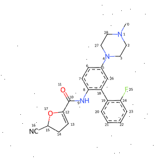 CN1CCN(c2ccc(NC(=O)C3=CCC(C#N)O3)c(-c3ccccc3F)c2)CC1